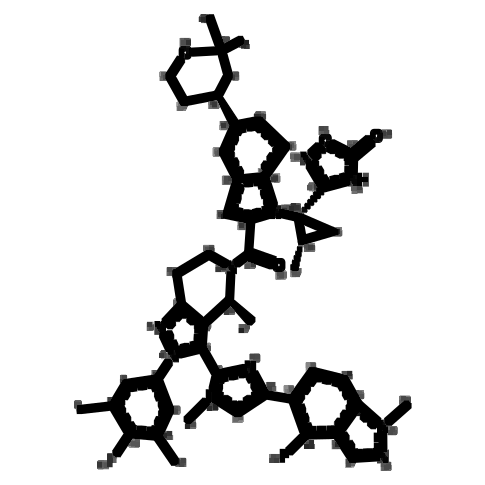 Cc1cc(-n2nc3c(c2-c2nc(-c4ccc5c(cnn5C)c4F)cn2C)[C@H](C)N(C(=O)c2cc4cc([C@H]5CCOC(C)(C)C5)ccc4n2[C@@]2(c4noc(=O)[nH]4)C[C@@H]2C)CC3)cc(C)c1F